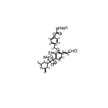 C=C1CC(C)CC(C2(C)OOC2(OC)c2ccc(/C=C/C=O)c(OCc3ccc(OC(=O)CCCCCCC)cc3)c2CC)C1